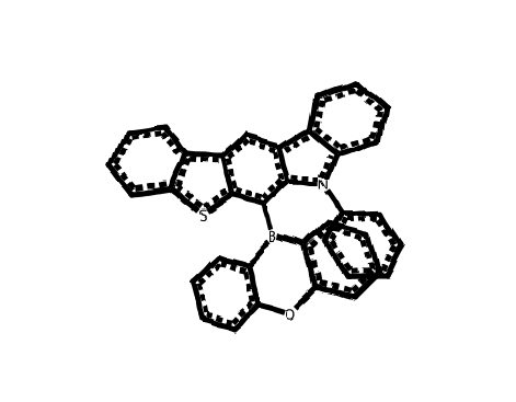 c1ccc(-n2c3ccccc3c3cc4c(sc5ccccc54)c(B4c5ccccc5Oc5ccccc54)c32)cc1